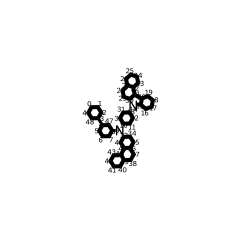 c1ccc(-c2cccc(N(c3ccc(-n4c5ccccc5c5c6ccccc6ccc54)cc3)c3ccc4ccc5ccccc5c4c3)c2)cc1